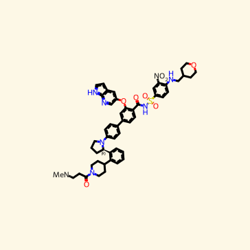 CNCCC(=O)N1CCC(c2ccccc2[C@H]2CCCN2c2ccc(-c3ccc(C(=O)NS(=O)(=O)c4ccc(NCC5CCOCC5)c([N+](=O)[O-])c4)c(Oc4cnc5[nH]ccc5c4)c3)cc2)CC1